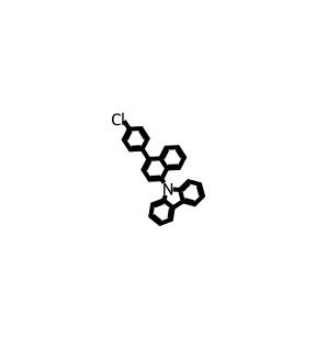 Clc1ccc(-c2ccc(-n3c4ccccc4c4ccccc43)c3ccccc23)cc1